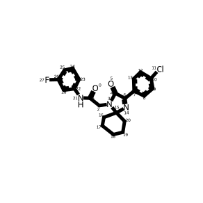 O=C(CN1C(=O)C(c2ccc(Cl)cc2)=NC12CCCCC2)Nc1cccc(F)c1